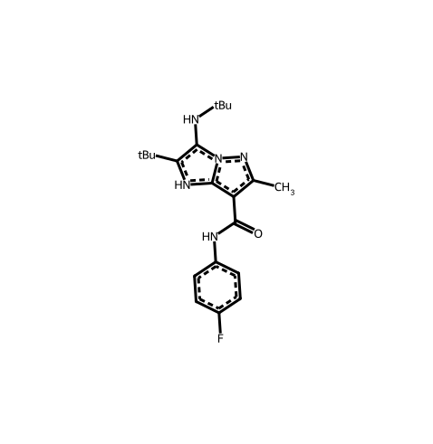 Cc1nn2c(NC(C)(C)C)c(C(C)(C)C)[nH]c2c1C(=O)Nc1ccc(F)cc1